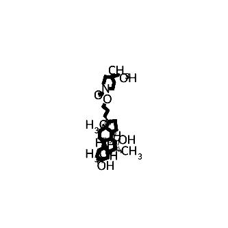 CC[C@H]1[C@@H](O)[C@@H]2[C@H](CC[C@]3(C)[C@@H](CCCOC(=O)N4CCC(C)(CO)CC4)CC[C@@H]23)[C@@]2(C)CC[C@@H](O)C[C@@H]12